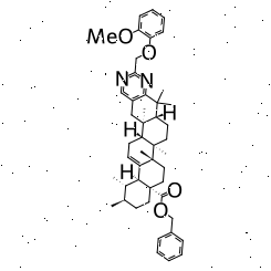 COc1ccccc1OCc1ncc2c(n1)C(C)(C)[C@@H]1CC[C@]3(C)[C@H](CC=C4[C@@H]5[C@@H](C)[C@H](C)CC[C@]5(C(=O)OCc5ccccc5)CC[C@]43C)[C@@]1(C)C2